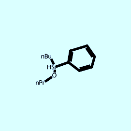 CCCC[SiH](OCCC)c1ccccc1